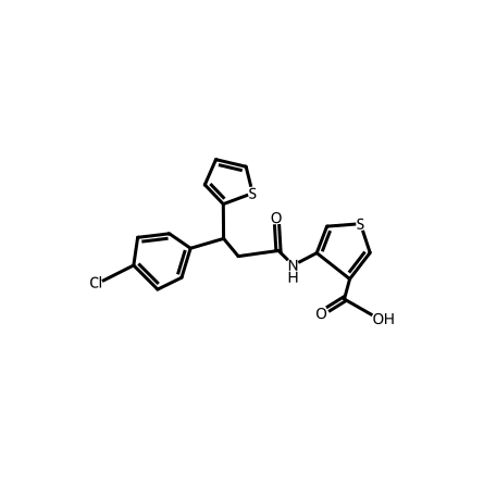 O=C(CC(c1ccc(Cl)cc1)c1cccs1)Nc1cscc1C(=O)O